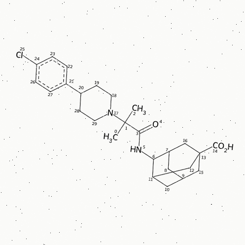 CC(C)(C(=O)NC1C2CC3CC1CC(C(=O)O)(C3)C2)N1CCC(c2ccc(Cl)cc2)CC1